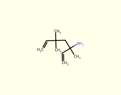 C=CC(C)(C)CC(C)(N)C=C